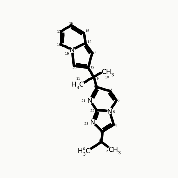 CC(C)c1cn2ccc(C(C)(C)c3cc4ccccn4c3)nc2n1